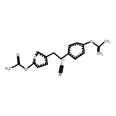 C=C(C)Oc1ccc([C@H](C#N)Cc2ccc(OC(C)=O)cc2)cc1